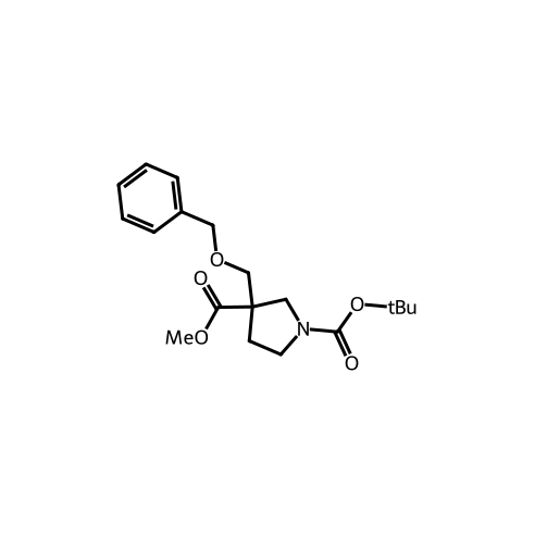 COC(=O)C1(COCc2ccccc2)CCN(C(=O)OC(C)(C)C)C1